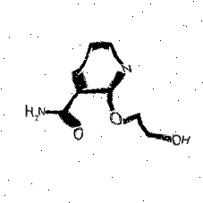 NC(=O)c1cccnc1OCCO